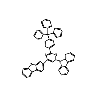 c1ccc(C(c2ccccc2)(c2ccccc2)c2ccc(-c3nc(-c4ccc5c(c4)oc4ccccc45)cc(-n4c5ccccc5c5ccccc54)n3)cc2)cc1